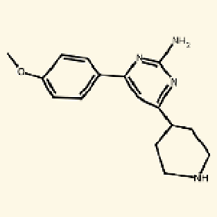 COc1ccc(-c2cc(C3CCNCC3)nc(N)n2)cc1